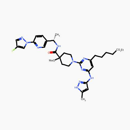 CCOC(=O)CCCCc1cc(Nc2cc(C)[nH]n2)nc(N2CCC(OC)(C(=O)N[C@@H](C)c3ccc(-n4cc(F)cn4)nc3)CC2)n1